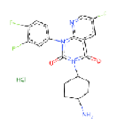 Cl.NC1CCC(n2c(=O)c3cc(F)cnc3n(-c3ccc(F)c(F)c3)c2=O)CC1